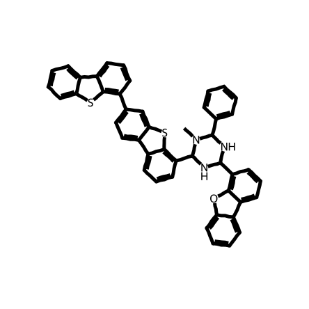 CN1C(c2ccccc2)NC(c2cccc3c2oc2ccccc23)NC1c1cccc2c1sc1cc(-c3cccc4c3sc3ccccc34)ccc12